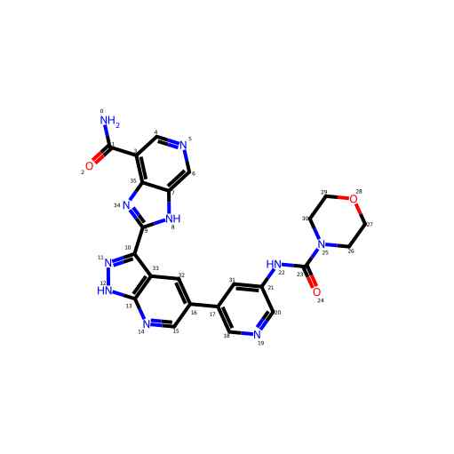 NC(=O)c1cncc2[nH]c(-c3n[nH]c4ncc(-c5cncc(NC(=O)N6CCOCC6)c5)cc34)nc12